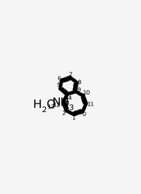 C1=CC=Cc2ccccc2C=C1.N.O